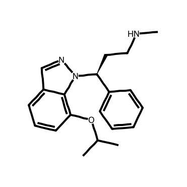 CNCC[C@@H](c1ccccc1)n1ncc2cccc(OC(C)C)c21